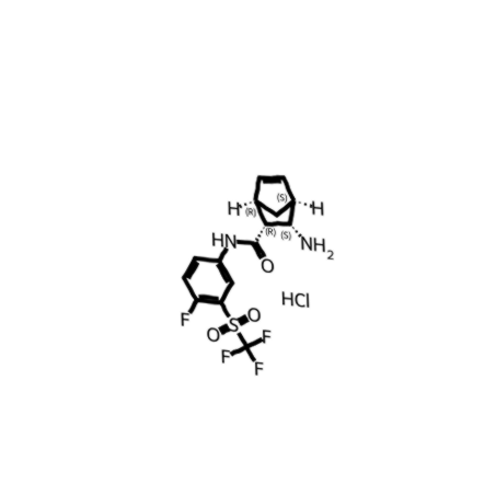 Cl.N[C@@H]1[C@H](C(=O)Nc2ccc(F)c(S(=O)(=O)C(F)(F)F)c2)[C@H]2C=C[C@@H]1C2